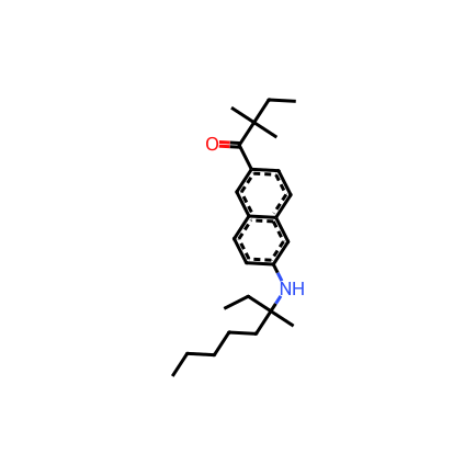 CCCCCC(C)(CC)Nc1ccc2cc(C(=O)C(C)(C)CC)ccc2c1